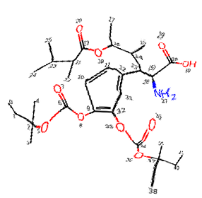 CCC(C)(C)OC(=O)Oc1ccc(C(C(C)C(C)OC(=O)C(C)C(C)C)[C@H](N)C(=O)O)cc1OC(=O)OC(C)(C)CC